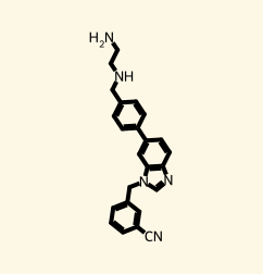 N#Cc1cccc(Cn2cnc3ccc(-c4ccc(CNCCN)cc4)cc32)c1